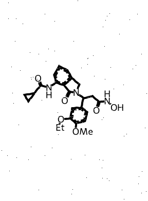 CCOc1cc(C(CC(=O)NO)N2Cc3cccc(NC(=O)C4CC4)c3C2=O)ccc1OC